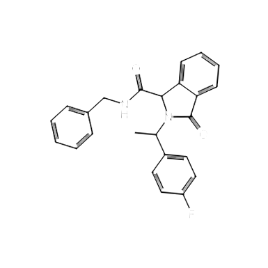 CC(c1ccc(F)cc1)N1C(=O)c2ccccc2C1C(=O)NCc1ccccc1